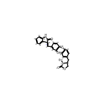 CCN1C(=O)OCC1Cc1ccc(Oc2ccc(/C=C3\C(=O)Nc4ccccc43)cc2OC)cc1